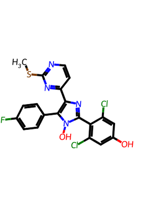 CSc1nccc(-c2nc(-c3c(Cl)cc(O)cc3Cl)n(O)c2-c2ccc(F)cc2)n1